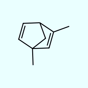 CC1=CC2(C)C=CC1C2